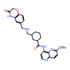 COc1ccc2nccc(NC(=O)C3CCCC(CNCc4ccc5c(c4)NC(=O)CO5)C3)c2n1